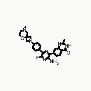 Cc1nc2cc(-c3nc(-c4ccc(N5CC6(CN(C)CCO6)C5)cc4)c(F)nc3N)ccc2c(=O)[nH]1